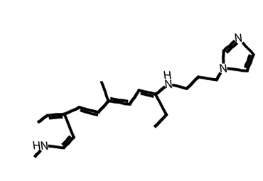 C/C=C(\C=C/NC)/C=C/C(C)=C/C=C(\CC)NCCCn1ccnc1